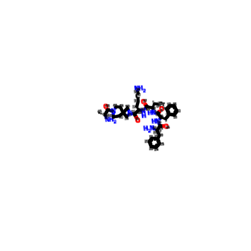 CC(C)C[C@@H](NC(=O)[C@@H](Cc1ccccc1)NC(=O)[C@H](N)Cc1ccccc1)C(=O)N[C@H](CCCCN)C(=O)N1CC2(CCN(C(=O)[C@@H](C)N)CC2)C1